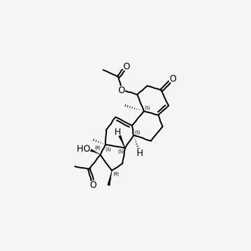 CC(=O)OC1CC(=O)C=C2CC[C@@H]3C(=CC[C@@]4(C)[C@H]3C[C@@H](C)[C@]4(O)C(C)=O)[C@]21C